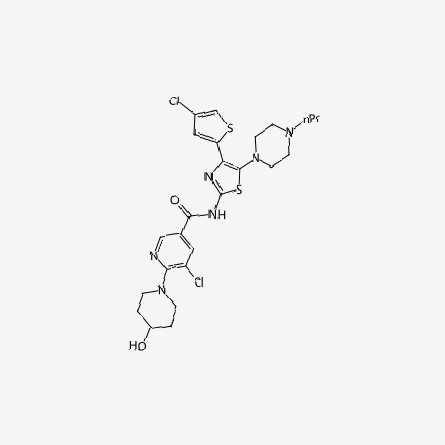 CCCN1CCN(c2sc(NC(=O)c3cnc(N4CCC(O)CC4)c(Cl)c3)nc2-c2cc(Cl)cs2)CC1